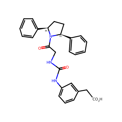 O=C(O)Cc1cccc(NC(=O)NCC(=O)N2[C@@H](c3ccccc3)CC[C@H]2c2ccccc2)c1